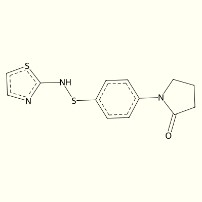 O=C1CCCN1c1ccc(SNc2nccs2)cc1